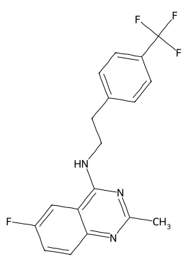 Cc1nc(NCCc2ccc(C(F)(F)F)cc2)c2cc(F)ccc2n1